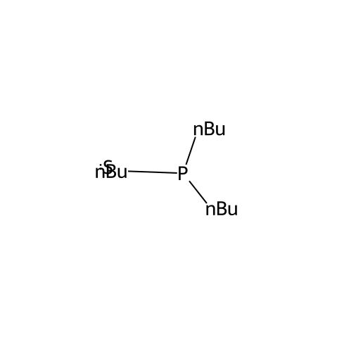 CCCCP(CCCC)CCCC.[S]